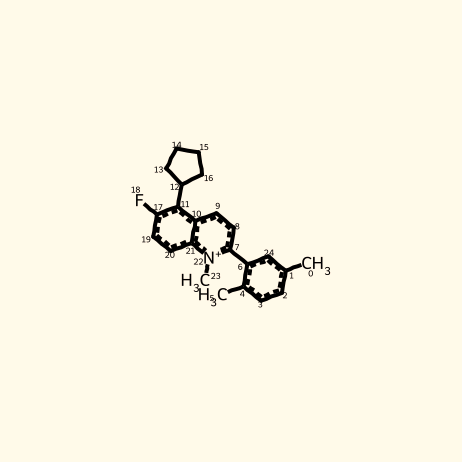 Cc1ccc(C)c(-c2ccc3c(C4CCCC4)c(F)ccc3[n+]2C)c1